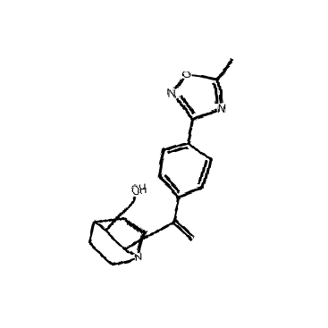 C=C(c1ccc(-c2noc(C)n2)cc1)C1C(O)C2CCN1CC2